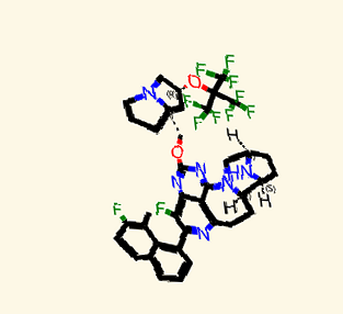 Cc1c(F)ccc2cccc(-c3nc4c5c(nc(OC[C@]67CCCN6C[C@H](OC(C(F)(F)F)(C(F)(F)F)C(F)(F)F)C7)nc5c3F)N3C[C@H]5CC[C@H](N5)[C@H]3CC4)c12